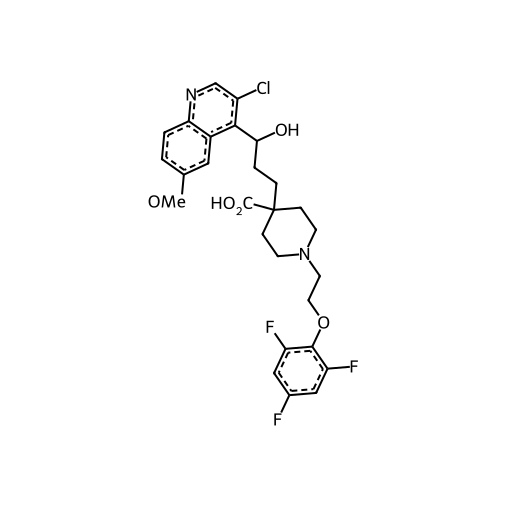 COc1ccc2ncc(Cl)c(C(O)CCC3(C(=O)O)CCN(CCOc4c(F)cc(F)cc4F)CC3)c2c1